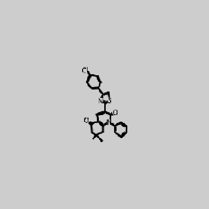 CC1(C)CC(=O)c2cc(-c3nc(-c4ccc(Cl)cc4)cs3)c(=O)n(-c3ccccc3)c2C1